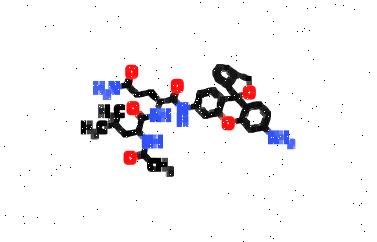 CC(=O)N[C@@H](CC(C)C)C(=O)N[C@@H](CCC(N)=O)C(=O)Nc1ccc2c(c1)Oc1cc(N)ccc1C21OCc2ccccc21